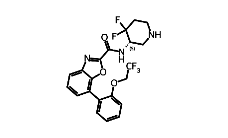 O=C(N[C@H]1CNCCC1(F)F)c1nc2cccc(-c3ccccc3OCC(F)(F)F)c2o1